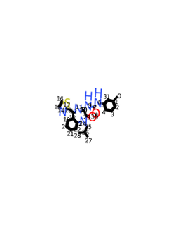 Cc1cccc(NC(=O)N[C@@H]2N=C(c3nccs3)c3ccccc3N(CC(C)C)C2=O)c1